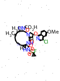 COc1ccc2c(O[C@@H]3C[C@H]4C(=O)N[C@]5(C(=O)NS(=O)(=O)C6(F)CC6)C[C@H]5/C=C\CC[C@@H](C)C[C@@H](C)[C@H](NC(=O)O)C(=O)N4C3)ncc(Cl)c2c1